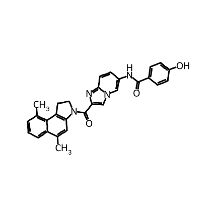 Cc1cc2c(c3c(C)cccc13)CCN2C(=O)c1cn2cc(NC(=O)c3ccc(O)cc3)ccc2n1